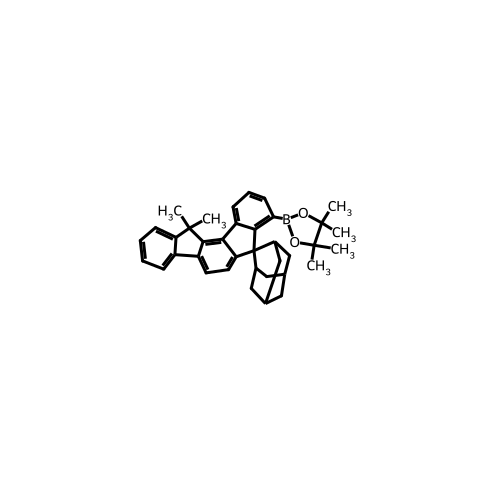 CC1(C)c2ccccc2-c2ccc3c(c21)-c1cccc(B2OC(C)(C)C(C)(C)O2)c1C31C2CC3CC(C2)CC1C3